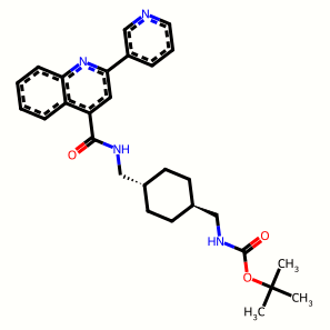 CC(C)(C)OC(=O)NC[C@H]1CC[C@H](CNC(=O)c2cc(-c3cccnc3)nc3ccccc23)CC1